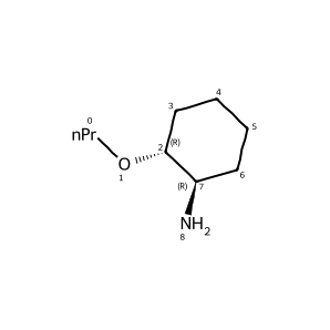 CCCO[C@@H]1CCCC[C@H]1N